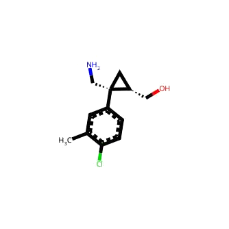 Cc1cc([C@@]2(CN)C[C@@H]2CO)ccc1Cl